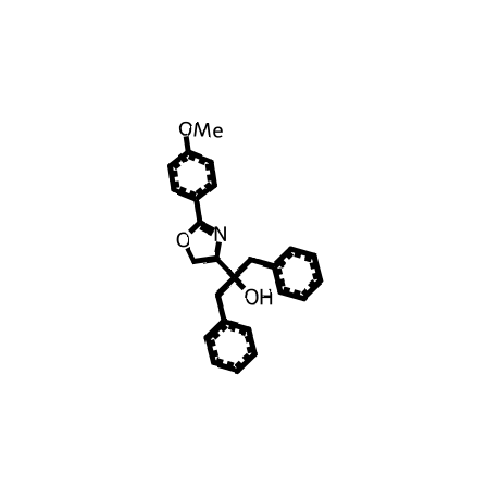 COc1ccc(C2=NC(C(O)(Cc3ccccc3)Cc3ccccc3)CO2)cc1